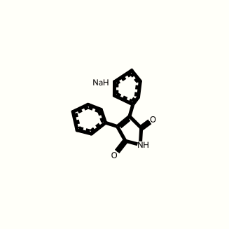 O=C1NC(=O)C(c2ccccc2)=C1c1ccccc1.[NaH]